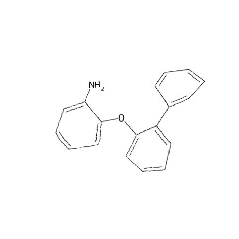 Nc1ccccc1Oc1ccccc1-c1ccccc1